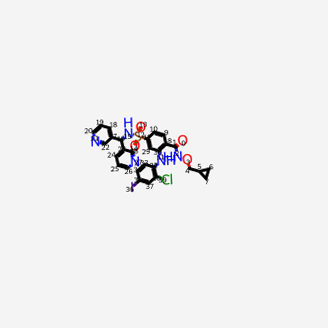 O=C(NOCC1CC1)c1ccc(S(=O)(=O)NC(c2cccnc2)c2cccnc2)cc1Nc1ccc(I)cc1Cl